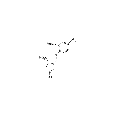 COc1cc(N)ccc1OC[C@@H]1C[C@@H](O)CN1C(=O)O